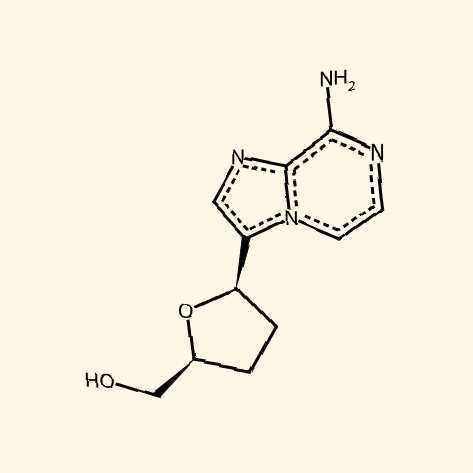 Nc1nccn2c([C@H]3CC[C@@H](CO)O3)cnc12